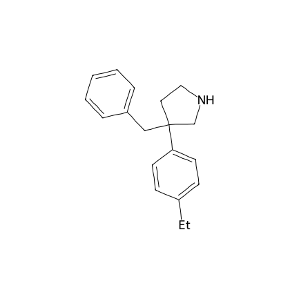 CCc1ccc(C2(Cc3ccccc3)CCNC2)cc1